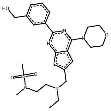 CCN(CCN(C)S(C)(=O)=O)Cc1cc2c(N3CCOCC3)nc(-c3cccc(CO)c3)nc2s1